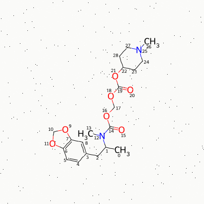 CC(Cc1ccc2c(c1)OCO2)N(C)C(=O)OCOC(=O)OC1CCN(C)CC1